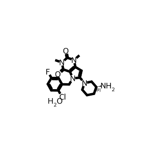 Cn1c(=O)c2c(cc(N3CCC[C@@H](N)C3)n2Cc2cc(F)ccc2Cl)n(C)c1=O.O